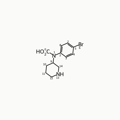 O=C(O)N(c1ccc(Br)cc1)C1CCCNC1